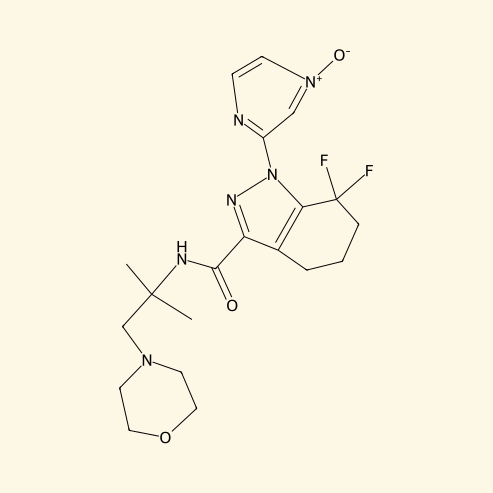 CC(C)(CN1CCOCC1)NC(=O)c1nn(-c2c[n+]([O-])ccn2)c2c1CCCC2(F)F